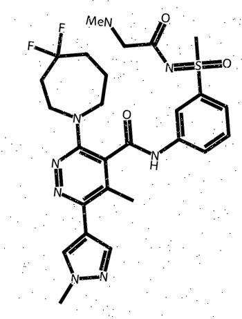 CNCC(=O)N=S(C)(=O)c1cccc(NC(=O)c2c(N3CCCC(F)(F)CC3)nnc(-c3cnn(C)c3)c2C)c1